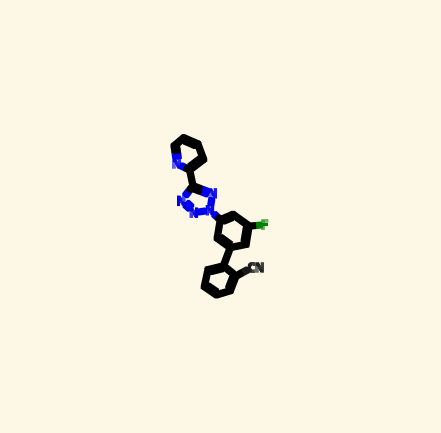 N#Cc1ccccc1-c1cc(F)cc(-n2nnc(-c3ccccn3)n2)c1